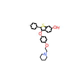 Oc1ccc2c(Oc3ccc(OCCN4CCCCC4)cc3)c(-c3cc[c]cc3)sc2c1